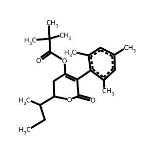 CCC(C)C1CC(OC(=O)C(C)(C)C)=C(c2c(C)cc(C)cc2C)C(=O)O1